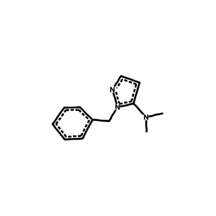 CN(C)c1ccnn1Cc1ccccc1